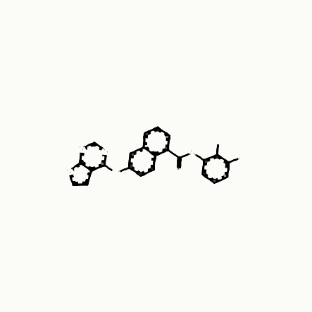 O=C(Nc1cccc(C(F)(F)F)c1F)c1cccc2cc(Oc3ncnc4[nH]ccc34)ccc12